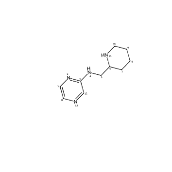 c1cnc(NCC2CCCCN2)cn1